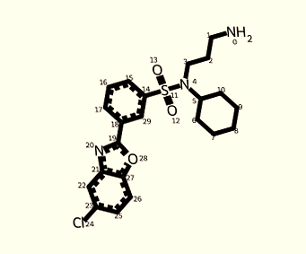 NCCCN(C1CCCCC1)S(=O)(=O)c1cccc(-c2nc3cc(Cl)ccc3o2)c1